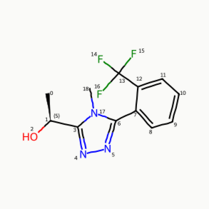 C[C@H](O)c1nnc(-c2ccccc2C(F)(F)F)n1C